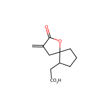 C=C1CC2(CCCC2CC(=O)O)OC1=O